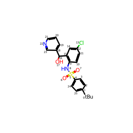 CC(C)(C)c1ccc(S(=O)(=O)Nc2ccc(Cl)cc2C(O)c2cccnc2)cc1